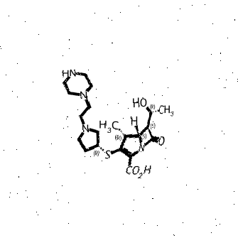 C[C@@H](O)[C@H]1C(=O)N2C(C(=O)O)=C(S[C@@H]3CCN(CCN4CCNCC4)C3)[C@H](C)[C@H]12